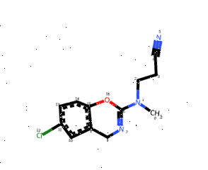 CN(CCC#N)C1=NCc2cc(Cl)ccc2O1